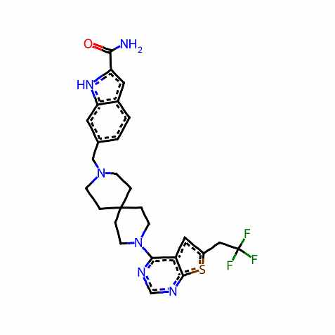 NC(=O)c1cc2ccc(CN3CCC4(CC3)CCN(c3ncnc5sc(CC(F)(F)F)cc35)CC4)cc2[nH]1